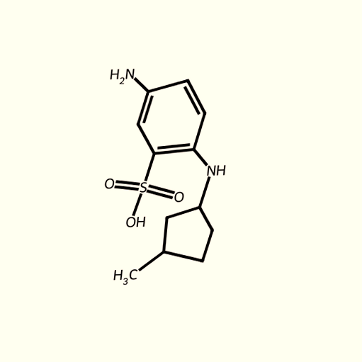 CC1CCC(Nc2ccc(N)cc2S(=O)(=O)O)C1